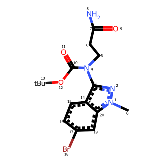 Cn1nc(N(CCC(N)=O)C(=O)OC(C)(C)C)c2ccc(Br)cc21